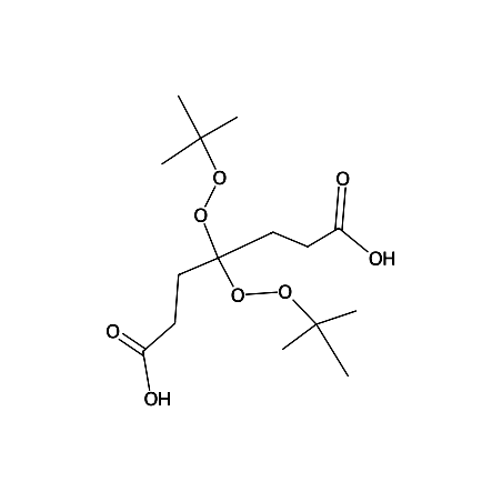 CC(C)(C)OOC(CCC(=O)O)(CCC(=O)O)OOC(C)(C)C